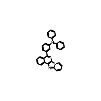 c1ccc(N(c2ccccc2)c2cccc(-c3nc4c(nc5ccccn54)c4ccccc34)c2)cc1